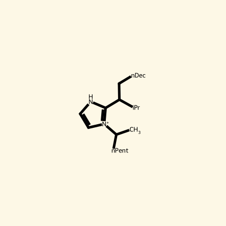 CCCCCCCCCCCC(c1[nH]cc[n+]1C(C)CCCCC)C(C)C